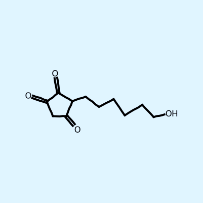 O=C1CC(=O)C(CCCCCCO)C1=O